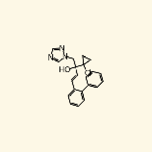 OC(C=Cc1ccccc1-c1ccccc1)(Cn1cncn1)C1(Cl)CC1